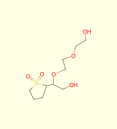 O=S1(=O)CCCC1C(CO)OCCOCCO